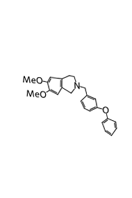 COc1cc2c(cc1OC)CN(Cc1cccc(Oc3ccccc3)c1)CC2